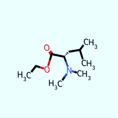 CCOC(=O)[C@H](CC(C)C)N(C)C